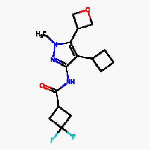 Cn1nc(NC(=O)C2CC(F)(F)C2)c(C2CCC2)c1C1COC1